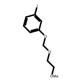 COCCOCOc1cccc(I)c1